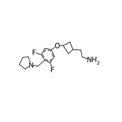 NCCC1CC(Oc2cc(F)c(CN3CCCC3)c(F)c2)C1